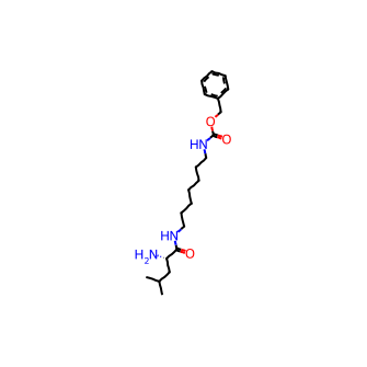 CC(C)C[C@H](N)C(=O)NCCCCCCCNC(=O)OCc1ccccc1